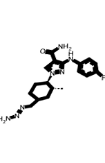 C[C@@H]1CC(CN=NN)CC[C@H]1n1cc(C(N)=O)c(Nc2ccc(F)cc2)n1